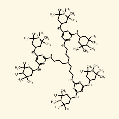 CN1C(C)(C)CC(Nc2nc(NCCCN(CCCNc3nc(NC4CC(C)(C)N(C)C(C)(C)C4)nc(NC4CC(C)(C)N(C)C(C)(C)C4)n3)CCCNc3nc(NC4CC(C)(C)N(C)C(C)(C)C4)nc(NC4CC(C)(C)N(C)C(C)(C)C4)n3)nc(NC3CC(C)(C)N(C)C(C)(C)C3)n2)CC1(C)C